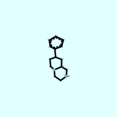 c1ccc(C2CCN3CCNCC3C2)cc1